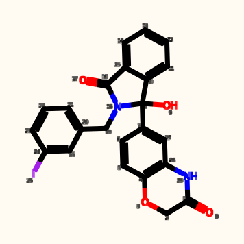 O=C1COc2ccc(C3(O)c4ccccc4C(=O)N3Cc3cccc(I)c3)cc2N1